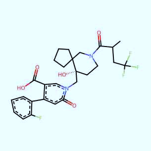 CC(CC(F)(F)F)C(=O)N1CC[C@@](O)(Cn2cc(C(=O)O)c(-c3ccccc3F)cc2=O)C2(CCCC2)C1